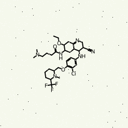 CCOC1CC2=NCC(C#N)C(Nc3ccc(OCC4CCCC(C(F)(F)F)N4C)c(Cl)c3)C2CC1NC(=O)CCCN(C)C